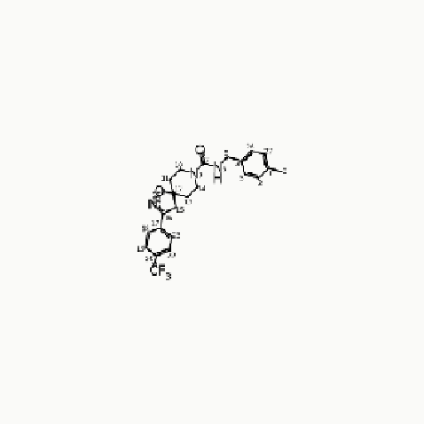 Cc1ccc(CNC(=O)N2CCC3(CC2)CC(c2ccc(C(F)(F)F)cc2)=NO3)cc1